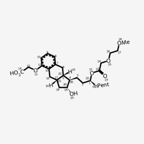 CCCCC[C@@H](CC[C@@H]1[C@H]2Cc3cccc(OCC(=O)O)c3C[C@H]2C[C@H]1O)OC(=O)COCCOC